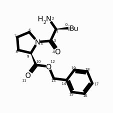 CCC(C)[C@H](N)C(=O)N1CCC[C@@H]1C(=O)OCc1ccccc1